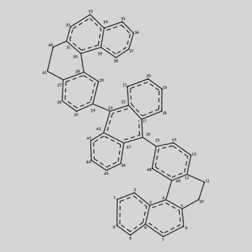 c1ccc2c3c(ccc2c1)CCc1ccc(-c2c4ccccc4c(-c4ccc5c(c4)-c4c(ccc6ccccc46)CC5)c4ccccc24)cc1-3